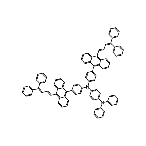 C(=Cc1c2ccccc2c(-c2ccc(N(c3ccc(-c4c5ccccc5c(C=CC=C(c5ccccc5)c5ccccc5)c5ccccc45)cc3)c3ccc(N(c4ccccc4)c4ccccc4)cc3)cc2)c2ccccc12)C=C(c1ccccc1)c1ccccc1